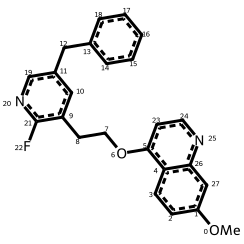 COc1ccc2c(OCCc3cc(Cc4ccccc4)cnc3F)ccnc2c1